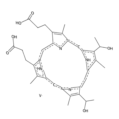 CC1=C(CCC(=O)O)c2cc3[nH]c(cc4nc(cc5[nH]c(cc1n2)c(C(C)O)c5C)C(C(C)O)=C4C)c(C)c3CCC(=O)O.[V]